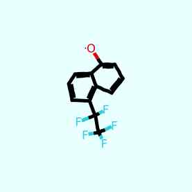 [O]c1cccc2c(C(F)(F)C(F)(F)F)cccc12